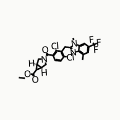 CCOC(=O)C1[C@H]2CN(C(=O)c3ccc(Cl)c(Cc4nc5c(C)cc(C(F)(F)F)cc5n4C)c3Cl)C[C@@H]12